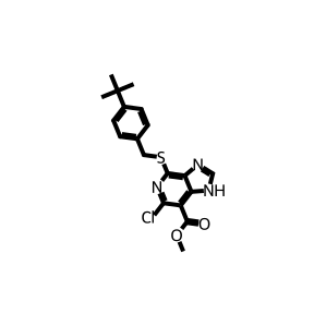 COC(=O)c1c(Cl)nc(SCc2ccc(C(C)(C)C)cc2)c2nc[nH]c12